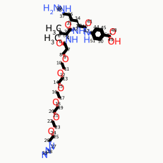 CC(C)[C@H](NC(=O)CCOCCOCCOCCOCCOCCOCCN=[N+]=[N-])C(=O)N[C@@H](CCCCNN)C(=O)Nc1ccc(C(=O)O)cc1